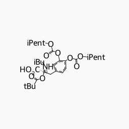 CCCC(C)OC(=O)Oc1ccc(C[C@](NC(C)CC)(OC(=O)C(C)(C)C)C(=O)O)cc1OC(=O)OC(C)CCC